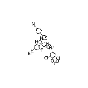 CC(=O)Oc1c(Cl)cc(C[n+]2cnn(CC(O)(c3ccc(F)cc3F)C(C)c3nc(-c4ccc(C#N)cc4)cs3)c2)cc1Cl.[Br-]